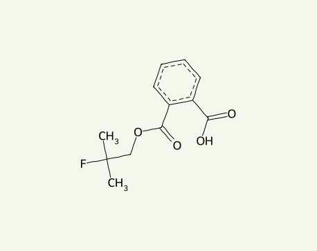 CC(C)(F)COC(=O)c1ccccc1C(=O)O